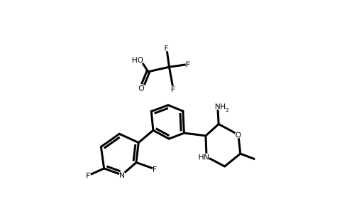 CC1CNC(c2cccc(-c3ccc(F)nc3F)c2)C(N)O1.O=C(O)C(F)(F)F